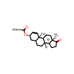 CCCCCCC(=O)O[C@H]1C=C[C@@]2(C)C(CC[C@@H]3C2CC[C@]2(C)C(=O)CC[C@@H]32)C1